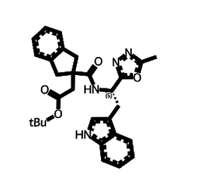 Cc1nnc([C@H](Cc2c[nH]c3ccccc23)NC(=O)C2(CC(=O)OC(C)(C)C)Cc3ccccc3C2)o1